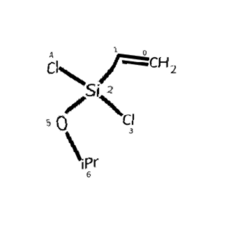 C=C[Si](Cl)(Cl)OC(C)C